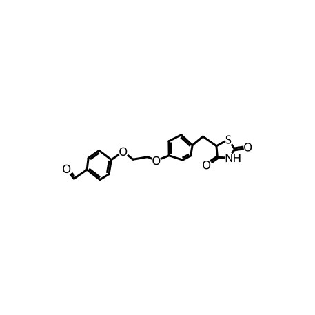 O=Cc1ccc(OCCOc2ccc(CC3SC(=O)NC3=O)cc2)cc1